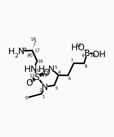 CCN(CC(N)CCCB(O)O)S(=O)(=O)NC[C@@H](C)N